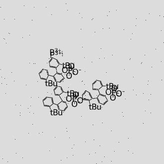 CC(C)(C)c1ccccc1-c1cccc(OP(=O)([O-])[O-])c1-c1ccccc1C(C)(C)C.CC(C)(C)c1ccccc1-c1cccc(OP(=O)([O-])[O-])c1-c1ccccc1C(C)(C)C.CC(C)(C)c1ccccc1-c1cccc(OP(=O)([O-])[O-])c1-c1ccccc1C(C)(C)C.[P+3].[P+3]